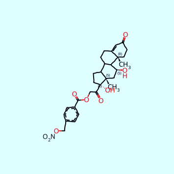 C[C@]12CCC(=O)C=C1CCC1C2[C@@H](O)C[C@@]2(C)C1CC[C@]2(O)C(=O)COC(=O)c1ccc(CO[N+](=O)[O-])cc1